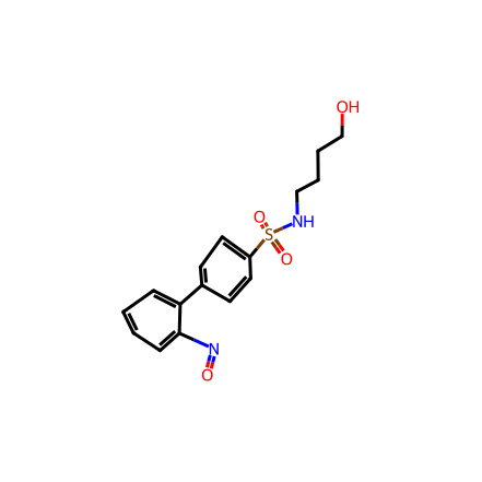 O=Nc1ccccc1-c1ccc(S(=O)(=O)NCCCCO)cc1